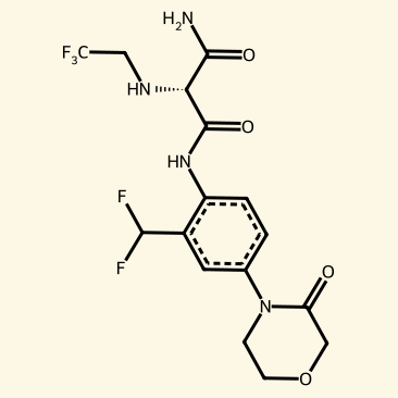 NC(=O)[C@@H](NCC(F)(F)F)C(=O)Nc1ccc(N2CCOCC2=O)cc1C(F)F